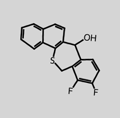 OC1c2ccc(F)c(F)c2CSc2c1ccc1ccccc21